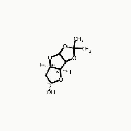 CC1(C)OC2O[C@@H]3C[C@@H](O)O[C@@H]3C2O1